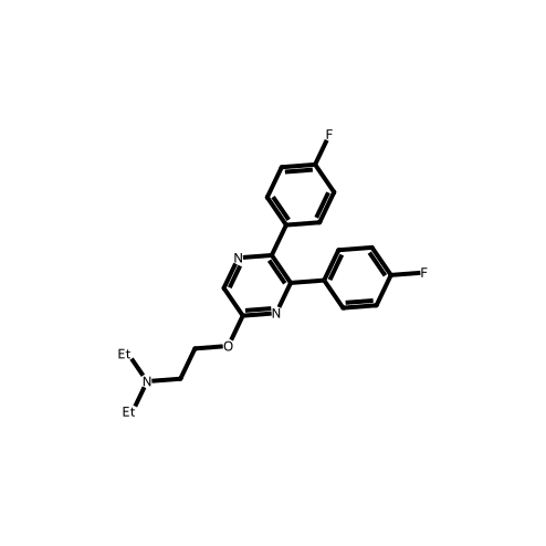 CCN(CC)CCOc1cnc(-c2ccc(F)cc2)c(-c2ccc(F)cc2)n1